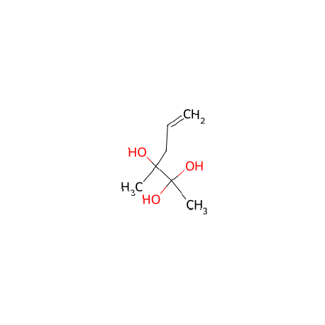 C=CCC(C)(O)C(C)(O)O